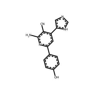 N#Cc1c(-c2cnc[nH]2)cc(-c2ccc(O)cc2)nc1N